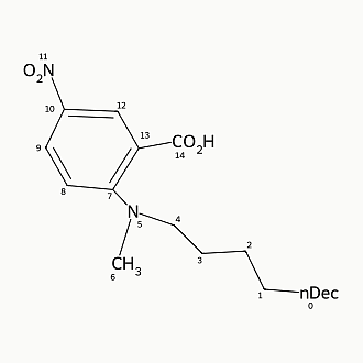 CCCCCCCCCCCCCCN(C)c1ccc([N+](=O)[O-])cc1C(=O)O